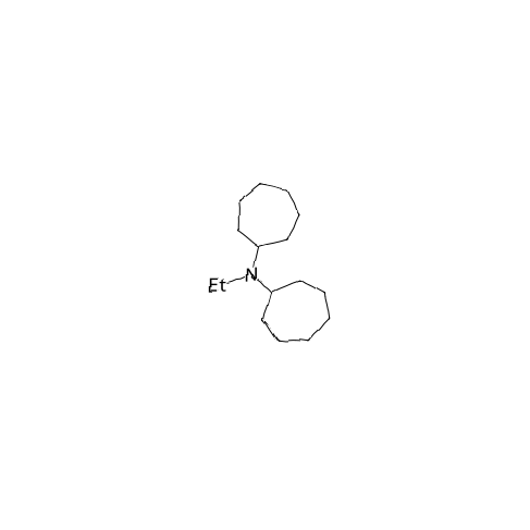 CCN(C1CCCCCC1)C1CCCCCC1